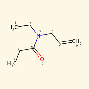 C=CCN(CC)C(=O)CC